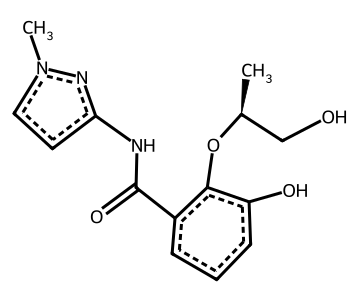 C[C@@H](CO)Oc1c(O)cccc1C(=O)Nc1ccn(C)n1